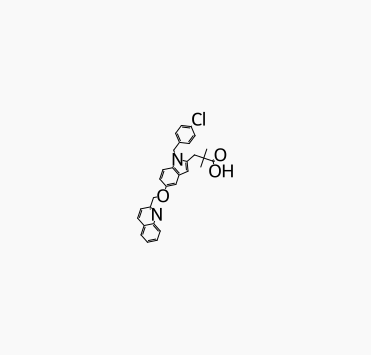 CC(C)(Cc1cc2cc(OCc3ccc4ccccc4n3)ccc2n1Cc1ccc(Cl)cc1)C(=O)O